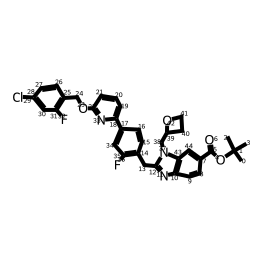 CC(C)(C)OC(=O)c1ccc2nc(Cc3ccc(-c4cccc(OCc5ccc(Cl)cc5F)n4)cc3F)n(CC3CCO3)c2c1